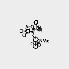 CNC(=O)C1(N2CCCCC2=O)CCN(CC[C@@H](c2ccc(Cl)c(Cl)c2)[C@@H](OC(C)=O)c2cnnn2-c2ccccc2)CC1